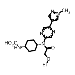 CCOCC(=O)N(c1cnc(-c2cnn(C)c2)cn1)[C@H]1CC[C@H](NC(=O)O)CC1